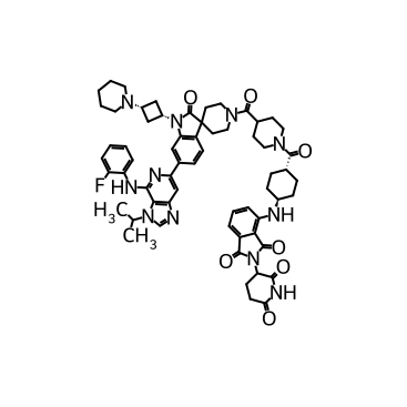 CC(C)n1cnc2cc(-c3ccc4c(c3)N([C@H]3C[C@@H](N5CCCCC5)C3)C(=O)C43CCN(C(=O)C4CCN(C(=O)[C@H]5CC[C@H](Nc6cccc7c6C(=O)N(C6CCC(=O)NC6=O)C7=O)CC5)CC4)CC3)nc(Nc3ccccc3F)c21